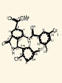 COC(=O)c1cc(NC(=O)c2cc(F)cc(C(F)(F)F)c2)c2c(c1)C(=O)NC2c1cc(F)ccc1Cl